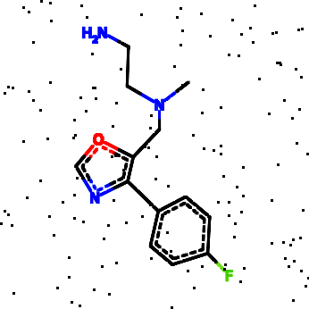 CN(CCN)Cc1ocnc1-c1ccc(F)cc1